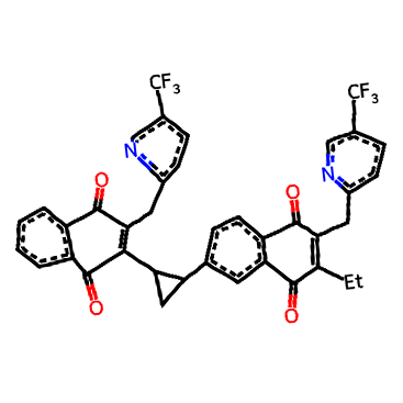 CCC1=C(Cc2ccc(C(F)(F)F)cn2)C(=O)c2ccc(C3CC3C3=C(Cc4ccc(C(F)(F)F)cn4)C(=O)c4ccccc4C3=O)cc2C1=O